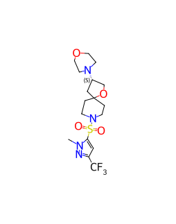 Cn1nc(C(F)(F)F)cc1S(=O)(=O)N1CCC2(CC1)C[C@H](N1CCOCC1)CO2